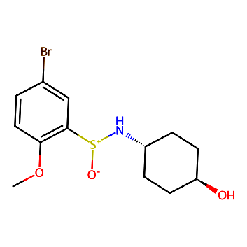 COc1ccc(Br)cc1[S+]([O-])N[C@H]1CC[C@H](O)CC1